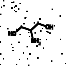 NC([CH]O)[CH]O